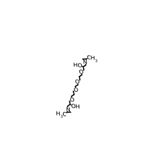 CC1CN1CC(O)COCCCOCCOCCCOCC(O)CN1CC1C